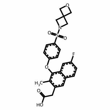 Cc1c(CC(=O)O)cc2ccc(F)cc2c1Oc1ccc(S(=O)(=O)N2CC3(COC3)C2)cc1